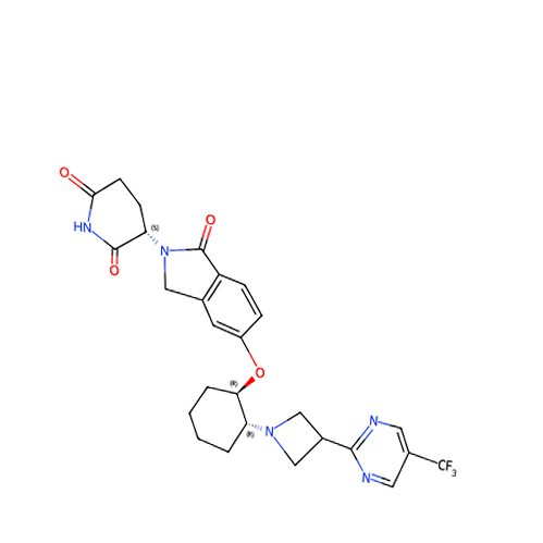 O=C1CC[C@H](N2Cc3cc(O[C@@H]4CCCC[C@H]4N4CC(c5ncc(C(F)(F)F)cn5)C4)ccc3C2=O)C(=O)N1